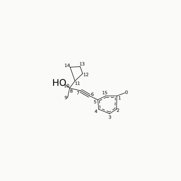 Cc1cccc(C#CC(C)(O)C2CCC2)c1